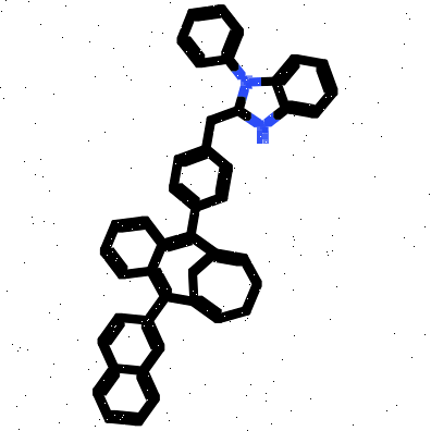 C1=C2CC(=CCC1)C(c1ccc3ccccc3c1)=c1ccccc1=C2c1ccc(CC2Nc3ccccc3N2c2ccccc2)cc1